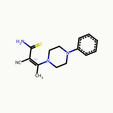 C/C(=C(\C#N)C(N)=S)N1CCN(c2ccccc2)CC1